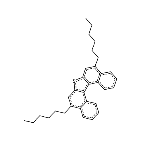 CCCCCCc1cc2sc3cc(CCCCCC)c4ccccc4c3c2c2ccccc12